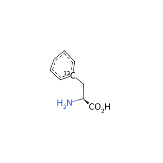 N[C@@H](C[13c]1ccccc1)C(=O)O